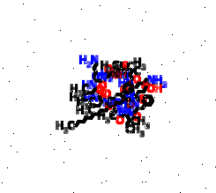 CCCCCCCCCCCCCCCC(=O)N(C(=O)[C@H](CCCCN)NC(=O)[C@@H](NC(=O)[C@H](C)N)C(C)C)[C@@H](CCC(=O)O)C(=O)N[C@@H](Cc1ccccc1)C(=O)N[C@H](C(=O)N[C@@H](C)C(=O)N[C@@H](Cc1c[nH]c2ccccc12)C(=O)N[C@@H](CC(C)C)C(=O)N[C@H](C(=O)N[C@@H](CCCCN)C(=O)NCC(=O)O)C(C)C)[C@@H](C)CC